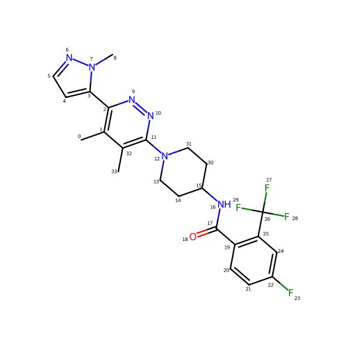 Cc1c(-c2ccnn2C)nnc(N2CCC(NC(=O)c3ccc(F)cc3C(F)(F)F)CC2)c1C